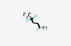 [CH2]C[C@H](F)CCC(F)(F)C(F)(F)F